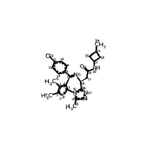 Cc1sc2c(c1C)C(c1ccc(Cl)cc1)=N[C@@H](CC(=O)NC1CC(C)C1)c1nnc(C)n1-2